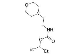 CCC(CC)OC(=O)NCCN1CCOCC1